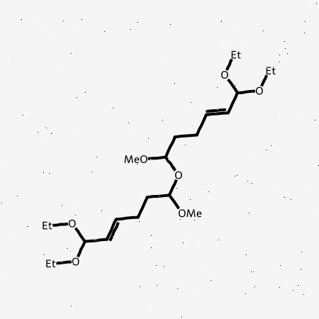 CCOC(/C=C/CCC(OC)OC(CC/C=C/C(OCC)OCC)OC)OCC